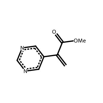 C=C(C(=O)OC)c1cncnc1